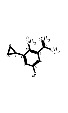 C=C(C)c1cc(F)cc(C2CC2)c1N